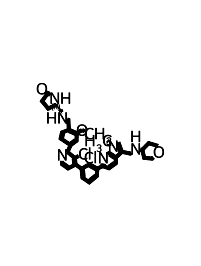 COc1cc(-c2nccc(-c3cccc(-c4ccc5c(CNC6CCOCC6)cn(C)c5n4)c3Cl)c2Cl)ccc1CNC[C@H]1CCC(=O)N1